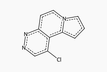 Clc1cnnc2ccn3cccc3c12